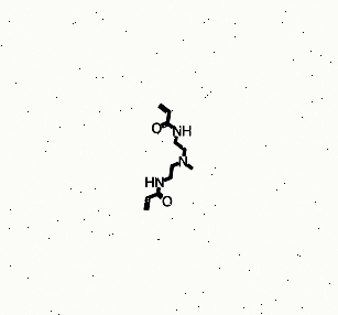 C=CC(=O)NCCN(C)CCNC(=O)C=C